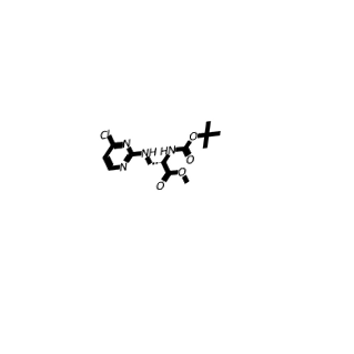 COC(=O)[C@H](CNc1nccc(Cl)n1)NC(=O)OC(C)(C)C